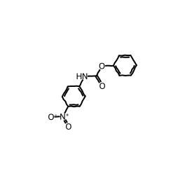 O=C(Nc1ccc([N+](=O)[O-])cc1)Oc1ccccc1